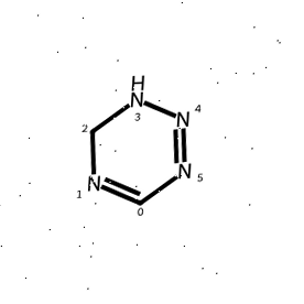 C1=NCNN=N1